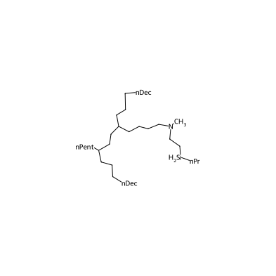 CCCCCCCCCCCCCC(CCCCC)CCC(CCCCCCCCCCCCC)CCCCN(C)CC[SiH2]CCC